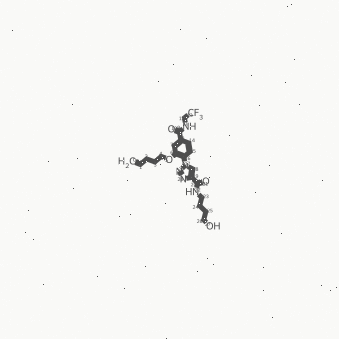 C=CCCCOc1cc(C(=O)NCC(F)(F)F)ccc1-n1cc(C(=O)NCCCCO)nn1